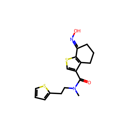 CN(CCc1cccs1)C(=O)c1csc2c1CCCC2=NO